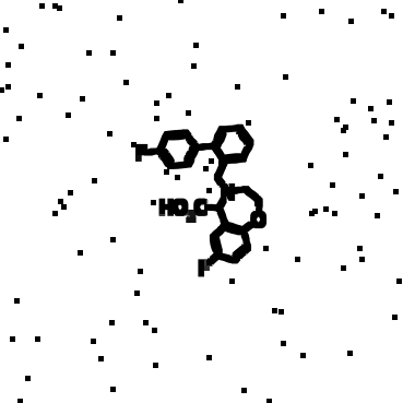 O=C(O)C1c2cc(F)ccc2OCCN1Cc1ccccc1-c1ccc(F)cc1